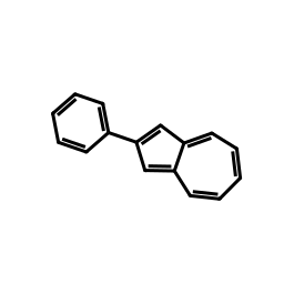 c1ccc(-c2cc3cccccc-3c2)cc1